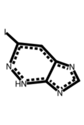 Ic1cc2ncnc-2[nH]n1